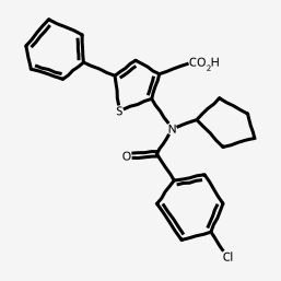 O=C(O)c1cc(-c2ccccc2)sc1N(C(=O)c1ccc(Cl)cc1)C1CCCC1